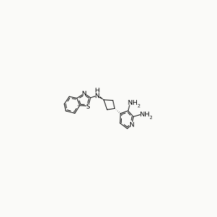 Nc1nccc([C@H]2C[C@H](Nc3nc4ccccc4s3)C2)c1N